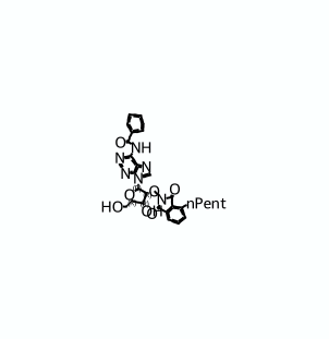 CCCCCc1cccc2c1C(=O)N(O[C@@H]1[C@H](O)[C@@H](CO)O[C@H]1n1cnc3c(NC(=O)c4ccccc4)ncnc31)C2=O